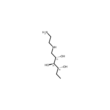 CC[C@@H](O)[C@@H](O)[C@@H](O)CNCCN